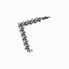 O=S(=O)([O-])[O-].O=S(=O)([O-])[O-].O=S(=O)([O-])[O-].O=S(=O)([O-])[O-].O=S(=O)([O-])[O-].O=S(=O)([O-])[O-].O=S(=O)([O-])[O-].O=S(=O)([O-])[O-].O=S(=O)([O-])[O-].O=S(=O)([O-])[O-].[Fe+3].[Fe+3].[Fe+3].[Fe+3].[Fe+3].[Fe+3].[Fe+3]